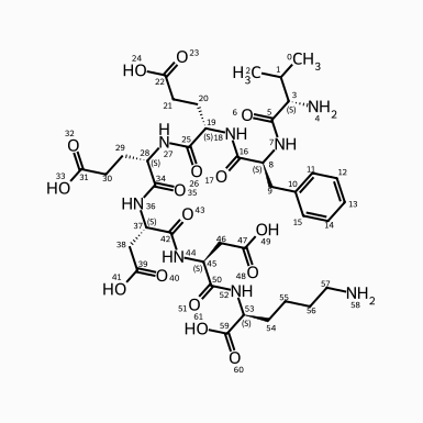 CC(C)[C@H](N)C(=O)N[C@@H](Cc1ccccc1)C(=O)N[C@@H](CCC(=O)O)C(=O)N[C@@H](CCC(=O)O)C(=O)N[C@@H](CC(=O)O)C(=O)N[C@@H](CC(=O)O)C(=O)N[C@@H](CCCCN)C(=O)O